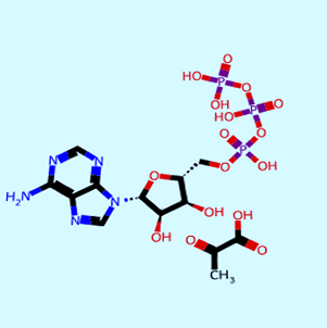 CC(=O)C(=O)O.Nc1ncnc2c1ncn2[C@@H]1O[C@H](COP(=O)(O)OP(=O)(O)OP(=O)(O)O)[C@@H](O)[C@H]1O